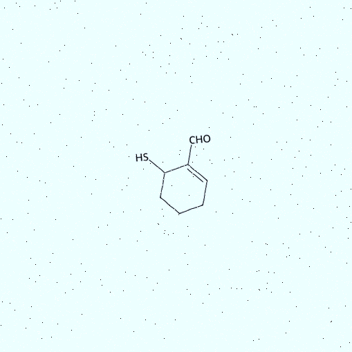 O=CC1=CCCCC1S